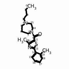 CCCCN1CCCN(C(=O)c2sc(-c3ccccc3C)nc2C)CC1